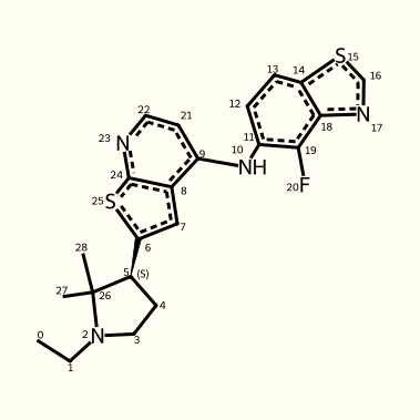 CCN1CC[C@H](c2cc3c(Nc4ccc5scnc5c4F)ccnc3s2)C1(C)C